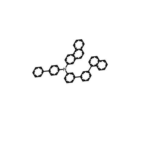 c1ccc(-c2ccc(N(c3cccc(-c4cccc(-c5cccc6ccccc56)c4)c3)c3ccc4c(ccc5ccccc54)c3)cc2)cc1